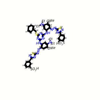 CCN(CC)c1cc(Nc2nc(Nc3cc(N(CC)CC)c(OC)cc3/N=N/c3nc(-c4cccc(S(=O)(=O)O)c4)ns3)nc(SCc3ccccc3)n2)c(/N=N/c2nc(-c3cccc(S(=O)(=O)O)c3)ns2)cc1OC